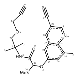 C#CCOCC(C)(C)NC(=O)C(Oc1cc(C)c2ncc(C#C)cc2c1)SC